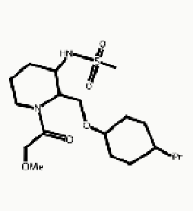 COCC(=O)N1CCCC(NS(C)(=O)=O)C1COC1CCC(C(C)C)CC1